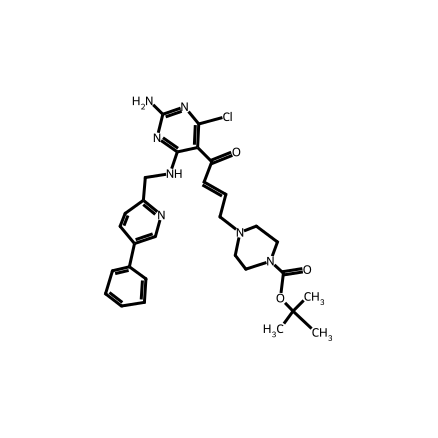 CC(C)(C)OC(=O)N1CCN(CC=CC(=O)c2c(Cl)nc(N)nc2NCc2ccc(-c3ccccc3)cn2)CC1